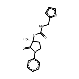 O=C(NCc1ccco1)O[C@@]1(O)CCN(c2ccccc2)C1=O